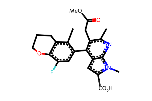 COC(=O)Cc1c(C)nc2c(cc(C(=O)O)n2C)c1-c1cc(F)c2c(c1C)CCCO2